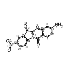 Nc1ccc2c(=O)n3c(nc2c1)C(=O)c1cc([N+](=O)[O-])ccc1-3